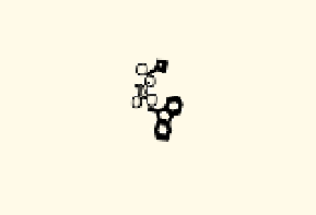 CN(OC(=O)C1CCC1)C(=O)OCC1c2ccccc2-c2ccccc21